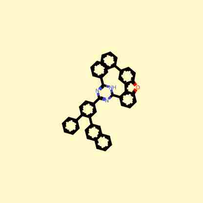 c1ccc(C2=NC(c3ccc(-c4ccccc4)c(-c4ccc5ccccc5c4)c3)=NC(c3cccc4oc5ccc(-c6ccccc6)cc5c34)N2)cc1